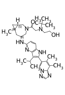 Cc1c(-c2[nH]c3ccc(N[C@H]4CN(C(=O)CN(CCO)C(C)(C)C)C[C@H]5C[C@]5(C)C4)nc3c2C(C)C)cn2ncnc2c1C